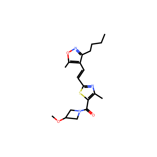 CCCCc1noc(C)c1/C=C/c1nc(C)c(C(=O)N2CC(OC)C2)s1